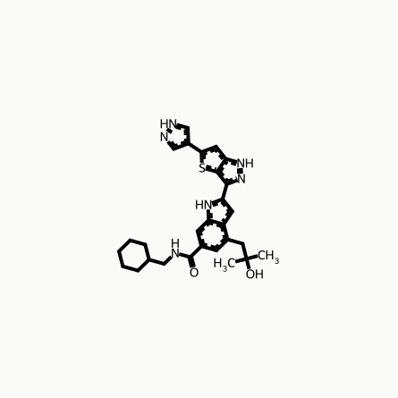 CC(C)(O)Cc1cc(C(=O)NCC2CCCCC2)cc2[nH]c(-c3n[nH]c4cc(-c5cn[nH]c5)sc34)cc12